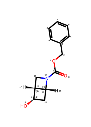 O=C(OCc1ccccc1)N1C[C@H]2[C@H](O)C[C@H]21